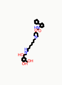 O=C(Nc1ccccc1-c1ccccc1)OC1CCN(CCCCCCCCCNCC(O)c2ccc(O)c(CO)c2)CC1